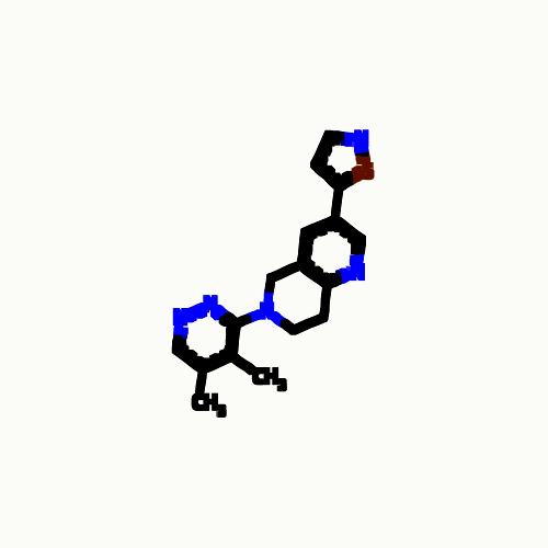 Cc1cnnc(N2CCc3ncc(-c4ccns4)cc3C2)c1C